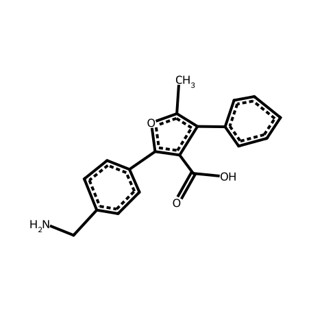 Cc1oc(-c2ccc(CN)cc2)c(C(=O)O)c1-c1ccccc1